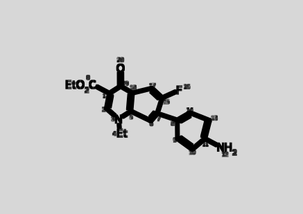 CCOC(=O)c1cn(CC)c2cc(-c3ccc(N)cc3)c(F)cc2c1=O